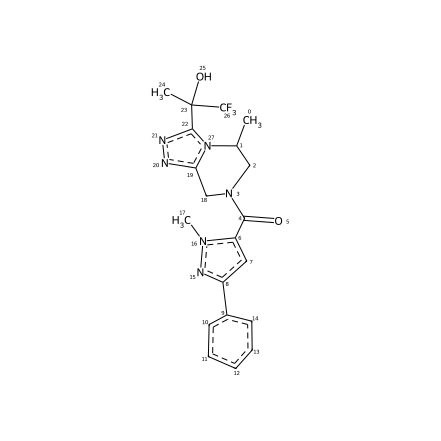 CC1CN(C(=O)c2cc(-c3ccccc3)nn2C)Cc2nnc(C(C)(O)C(F)(F)F)n21